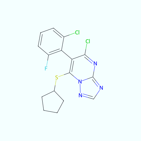 Fc1cccc(Cl)c1-c1c(Cl)nc2ncnn2c1SC1CCCC1